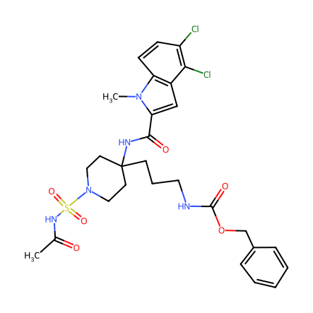 CC(=O)NS(=O)(=O)N1CCC(CCCNC(=O)OCc2ccccc2)(NC(=O)c2cc3c(Cl)c(Cl)ccc3n2C)CC1